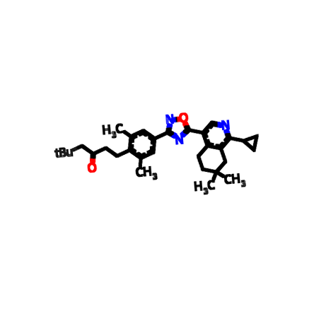 Cc1cc(-c2noc(-c3cnc(C4CC4)c4c3CCC(C)(C)C4)n2)cc(C)c1CCC(=O)CC(C)(C)C